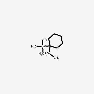 C[SiH2]C1([Si](C)(C)C)CCCCO1